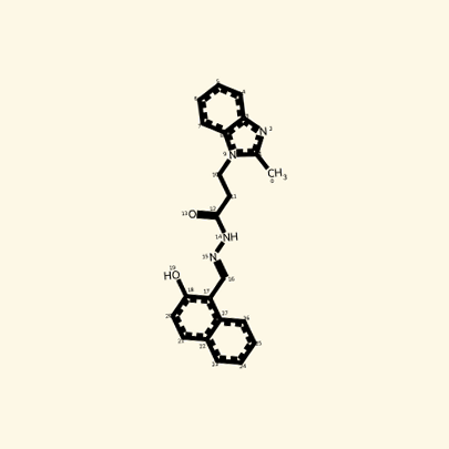 Cc1nc2ccccc2n1CCC(=O)N/N=C/c1c(O)ccc2ccccc12